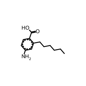 CCCCCCc1cc(N)ccc1C(=O)O